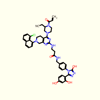 C=CC(=O)N1CCN(c2nc(NCCC(=O)NCc3ccc(-n4c(O)nnc4-c4ccc(O)cc4O)cc3)nc3c2CCN(c2cccc4cccc(Cl)c24)C3)CC1CC#N